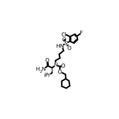 CC(C)C[C@@H](C(N)=O)N(CCCCNS(=O)(=O)c1ccc(F)cc1Cl)C(=O)OCC1CCCCC1